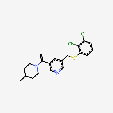 C=C(c1cncc(CSc2cccc(Cl)c2Cl)c1)N1CCC(C)CC1